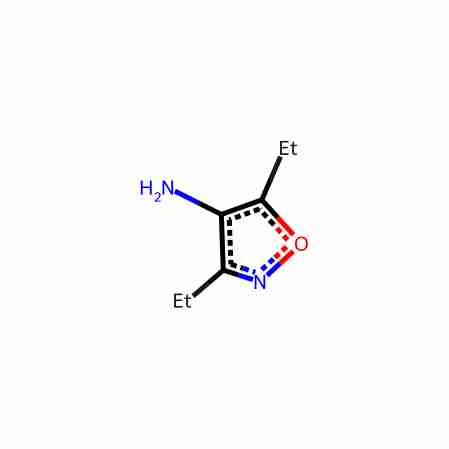 CCc1noc(CC)c1N